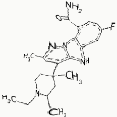 CCN1CCC(C)(c2c(C)nn3c2[nH]c2cc(F)cc(C(N)=O)c23)CC1C